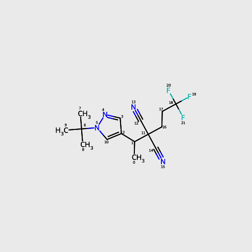 CC(c1cnn(C(C)(C)C)c1)C(C#N)(C#N)CCC(F)(F)F